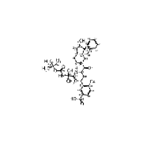 CN1N=C2CCN(C(=O)C(CCc3cc(C(=O)O)ccc3F)NC(=O)C(C)(C)NC(=O)OC(C)(C)C)C[C@@]2(Cc2ccccc2)C1=O